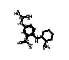 NC1CCCCC1Nc1ccc(OB(O)O)cc1[N+](=O)[O-]